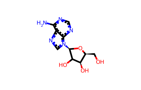 Nc1ncnc2c1ncn2[C@H]1O[C@@H](CO)[C@@H](O)C1O